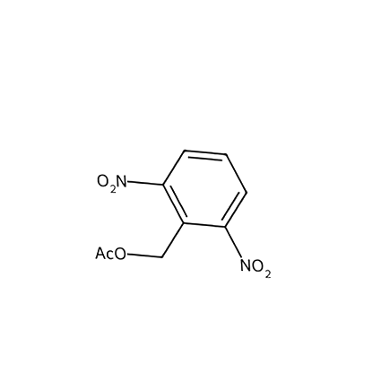 CC(=O)OCc1c([N+](=O)[O-])cccc1[N+](=O)[O-]